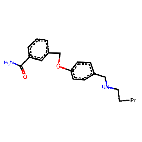 CC(C)CCNCc1ccc(OCc2cccc(C(N)=O)c2)cc1